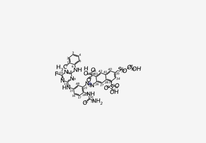 Cc1ccccc1Nc1nc(F)nc(Nc2ccc(NC(N)=O)c(/N=N/c3cc4c(S(=O)(=O)O)cc(SOOO)cc4cc3S(=O)(=O)O)c2)n1